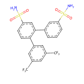 NS(=O)(=O)c1cccc(-c2cc(S(N)(=O)=O)ccc2-c2cc(C(F)(F)F)cc(C(F)(F)F)c2)c1